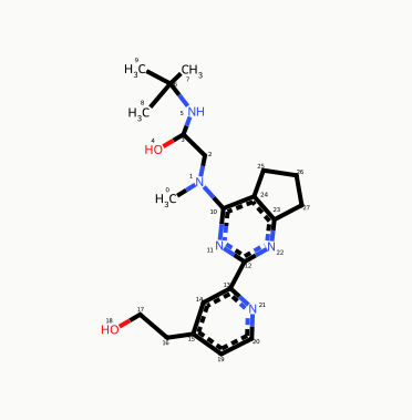 CN(CC(O)NC(C)(C)C)c1nc(-c2cc(CCO)ccn2)nc2c1CCC2